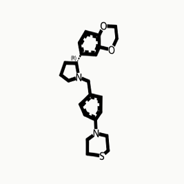 c1cc(N2CCSCC2)ccc1CN1CCC[C@@H]1c1ccc2c(c1)OCCO2